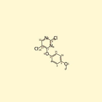 COc1ccc(Oc2nc(Cl)ncc2Cl)cc1